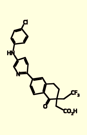 O=C(O)CC1(CC(F)(F)F)CCc2cc(-c3ccc(Nc4ccc(Cl)cc4)cn3)ccc2C1=O